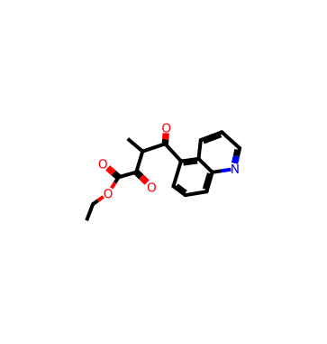 CCOC(=O)C(=O)C(C)C(=O)c1cccc2ncccc12